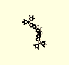 Cc1cc(N(c2cc(C)c(C)c(C)c2)c2ccc3cc4c(cc3c2)oc2c(F)c3oc5cc6cc(N(c7cc(C)c(C)c(C)c7)c7cc(C)c(C)c(C)c7)ccc6cc5c3cc24)cc(C)c1C